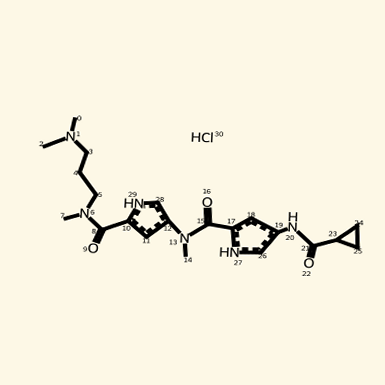 CN(C)CCCN(C)C(=O)c1cc(N(C)C(=O)c2cc(NC(=O)C3CC3)c[nH]2)c[nH]1.Cl